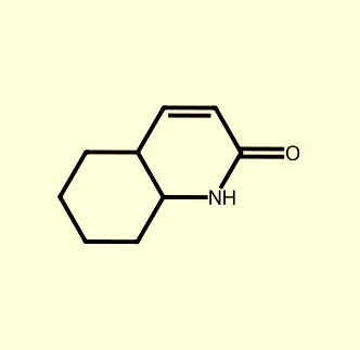 O=C1C=CC2CCCCC2N1